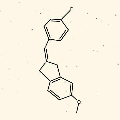 COc1ccc2c(c1)CC(=Cc1ccc(F)cc1)C2